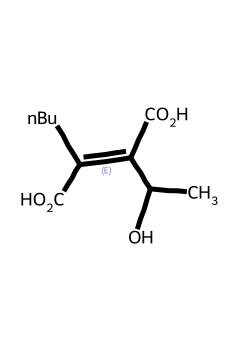 CCCC/C(C(=O)O)=C(\C(=O)O)C(C)O